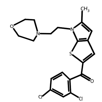 Cc1cc2cc(C(=O)c3ccc(Cl)cc3Cl)sc2n1CCN1CCOCC1